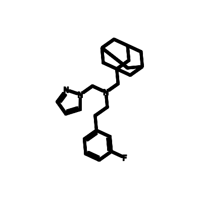 Fc1cccc(CCN(Cn2cccn2)CC23CC4CC(CC(C4)C2)C3)c1